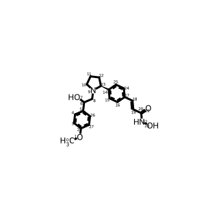 COc1ccc(C(O)CN2CCC[C@H]2c2ccc(C=CC(=O)NO)cc2)cc1